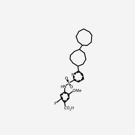 COc1cc(C(=O)O)c(F)cc1NS(=O)(=O)c1cccc(C2CCCCC(C3CCCCCCCC3)CCC2)n1